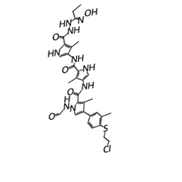 CCC(=NO)NNC(=O)c1[nH]cc(NC(=O)c2[nH]cc(NC(=O)c3c(C)c(-c4ccc(SCCCl)c(C)c4)cn3NC=O)c2C)c1C